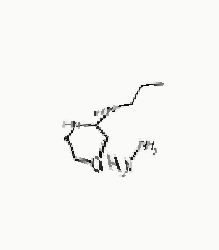 CCCNC1COCCN1.NN